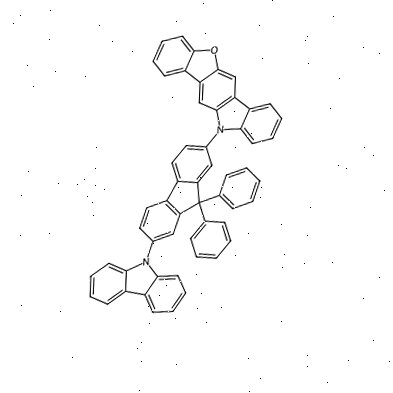 c1ccc(C2(c3ccccc3)c3cc(-n4c5ccccc5c5ccccc54)ccc3-c3ccc(-n4c5ccccc5c5cc6oc7ccccc7c6cc54)cc32)cc1